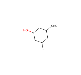 CC1CC(O)CC(C=O)C1